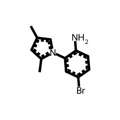 Cc1cc(C)n(-c2cc(Br)ccc2N)c1